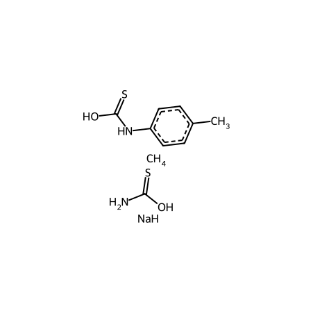 C.Cc1ccc(NC(O)=S)cc1.NC(O)=S.[NaH]